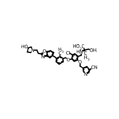 Cc1c(COc2cc(OCc3cncc(C#N)c3)c(CNC(C)(CO)C(=O)O)cc2Cl)cccc1-c1ccc2oc(CCN3CC[C@@H](O)C3)nc2c1